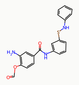 Nc1cc(C(=O)Nc2cccc(SNc3ccccc3)c2)ccc1OC=O